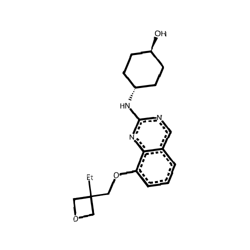 CCC1(COc2cccc3cnc(N[C@H]4CC[C@H](O)CC4)nc23)COC1